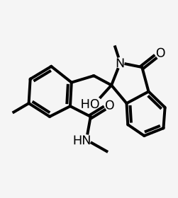 CNC(=O)c1cc(C)ccc1CC1(O)c2ccccc2C(=O)N1C